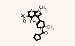 Cc1c([N+](=O)[O-])cnc2c1c(C1=CCN(C(=O)C3CCCC3)[C@@H](C)C1)cn2C